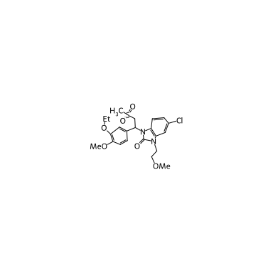 CCOc1cc(C(CS(C)(=O)=O)n2c(=O)n(CCOC)c3cc(Cl)ccc32)ccc1OC